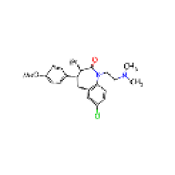 COc1ccc([C@@H]2Cc3cc(Cl)ccc3N(CCN(C)C)C(=O)[C@@H]2C(C)C)cc1